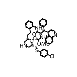 COC(=O)N[C@H](C(=O)Nc1ccccc1CC[C@@H]1CNC[C@@H](CSc2ccc(Cl)cc2)O1)[C@@H](c1ccccc1)c1ccnc2ccccc12